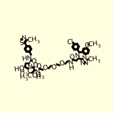 COc1ccc2c(c1)C(c1ccc(Cl)cc1)=NC(CC(=O)NCCOCCOCCOCC(=O)N[C@H](C(=O)N1C[C@H](O)C[C@H]1C(=O)NCc1ccc(-c3scnc3C)cc1)C(C)(C)C)c1nnc(C)n1-2